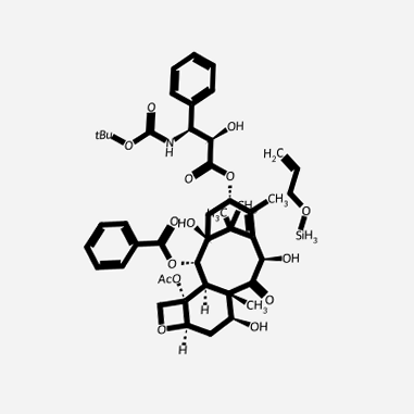 C=CCO[SiH3].CC(=O)O[C@@]12CO[C@@H]1C[C@H](O)[C@@]1(C)C(=O)[C@H](O)C3=C(C)[C@@H](OC(=O)[C@H](O)[C@@H](NC(=O)OC(C)(C)C)c4ccccc4)C[C@@](O)([C@@H](OC(=O)c4ccccc4)[C@H]21)C3(C)C